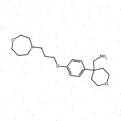 NCC1(c2ccc(OCCCN3CCCOCC3)cc2)CCOCC1